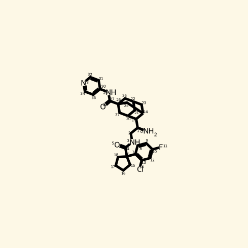 NC(CNC(=O)C1(c2ccc(F)cc2Cl)CCCC1)C1C2CC3CC1CC(C(=O)Nc1ccncc1)(C3)C2